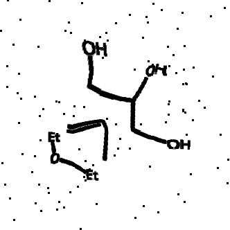 C=CC.CCOCC.OCC(O)CO